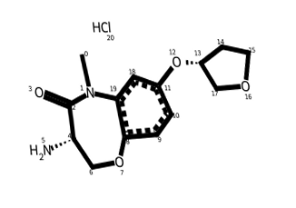 CN1C(=O)[C@@H](N)COc2ccc(O[C@@H]3CCOC3)cc21.Cl